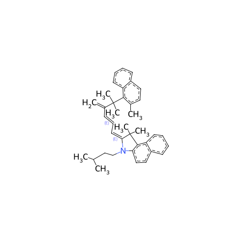 C=C(/C=C/C=C1/N(CCC(C)C)c2ccc3ccccc3c2C1(C)C)C(C)(C)c1c(C)ccc2ccccc12